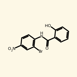 O=C(Nc1ccc([N+](=O)[O-])cc1Br)c1ccccc1O